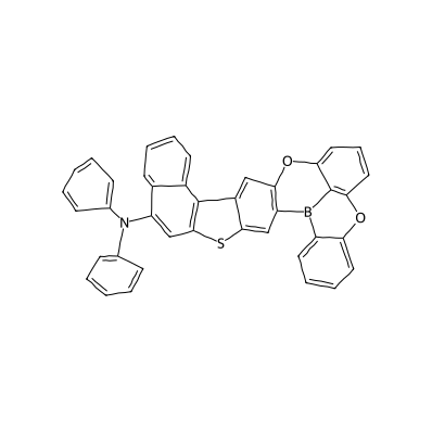 c1ccc(N(c2ccccc2)c2cc3sc4cc5c(cc4c3c3ccccc23)Oc2cccc3c2B5c2ccccc2O3)cc1